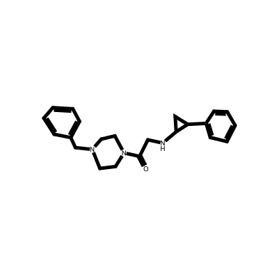 O=C(CNC1CC1c1ccccc1)N1CCN(Cc2ccccc2)CC1